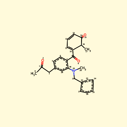 CC(=O)Cc1ccc(C(=O)C2=CC=[C]C(=O)C2C)c(N(C)Cc2ccccc2)c1